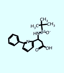 CC(C)(C)[S@@+]([O-])NC(CC(=O)O)c1cccc(-c2ccccc2)n1